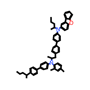 CCCC(C)c1ccc(-c2ccc(N(c3ccc(C)cc3C)C(C)Cc3ccc(-c4ccc(N(c5ccc6oc7ccccc7c6c5)C(C)CCC)cc4)cc3)cc2)cc1